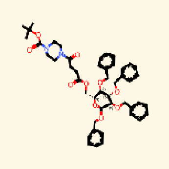 CC(C)(C)OC(=O)N1CCN(C(=O)CCC(=O)OC[C@H]2OC(OCc3ccccc3)[C@H](OCc3ccccc3)[C@@H](OCc3ccccc3)[C@@H]2OCc2ccccc2)CC1